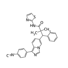 [C-]#[N+]c1ccc(-c2ncn3cc(C(c4ccccc4)C(C)(C)C(=O)Nc4nccs4)ccc23)cc1